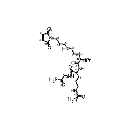 BC(=O)CNC(=O)[C@H](CCCNC(N)=O)NC(=O)C(NCCNCCCN1C(=O)C=CC1=O)C(C)C